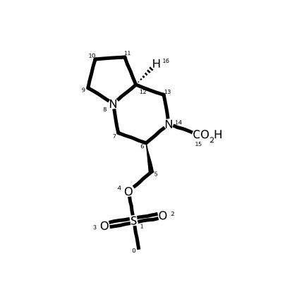 CS(=O)(=O)OC[C@H]1CN2CCC[C@H]2CN1C(=O)O